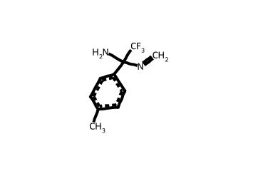 C=NC(N)(c1ccc(C)cc1)C(F)(F)F